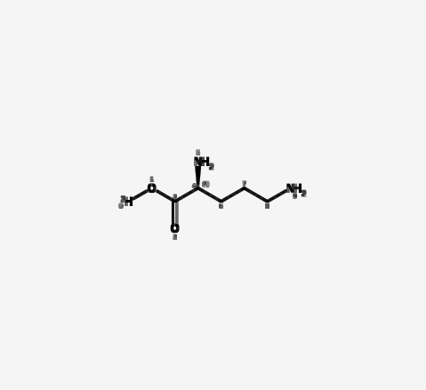 [2H]OC(=O)[C@@H](N)CCCN